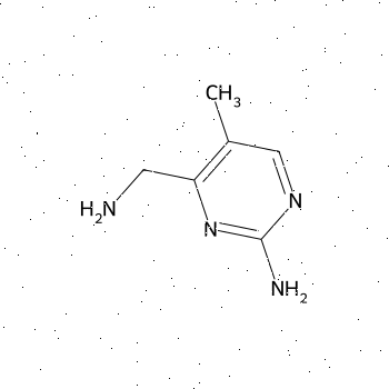 Cc1cnc(N)nc1CN